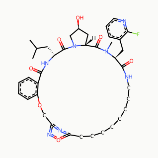 CC(C)C[C@H]1NC(=O)c2ccccc2OCc2noc(n2)CCCCCCCCNC(=O)[C@H](Cc2cccnc2F)N(C)C(=O)[C@H]2C[C@H](O)CN2C1=O